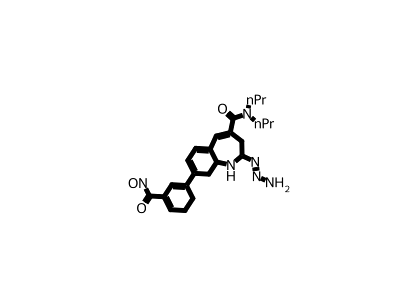 CCCN(CCC)C(=O)C1=CC2=CC=C(C3=CC(C(=O)N=O)=CCC3)CC2NC(N=NN)C1